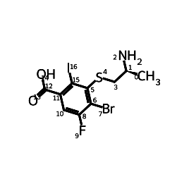 C[C@H](N)CSc1c(Br)c(F)cc(C(=O)O)c1I